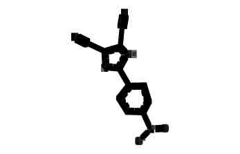 N#Cc1nc(-c2ccc([N+](=O)[O-])cc2)[nH]c1C#N